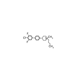 CCCC[Si@]1(C)CC[C@@H](c2ccc(-c3cc(F)c(Cl)c(F)c3)cc2)CC1